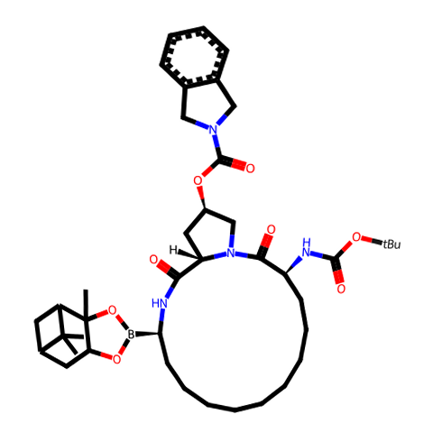 CC(C)(C)OC(=O)N[C@H]1CCCCCCCCC[C@@H](B2OC3CC4CC(C4(C)C)C3(C)O2)NC(=O)[C@@H]2C[C@@H](OC(=O)N3Cc4ccccc4C3)CN2C1=O